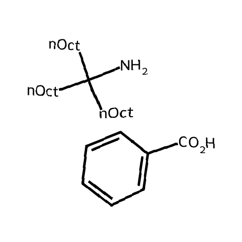 CCCCCCCCC(N)(CCCCCCCC)CCCCCCCC.O=C(O)c1ccccc1